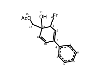 CCC1C=C(c2ccccc2)C=CC1(O)COC(C)=O